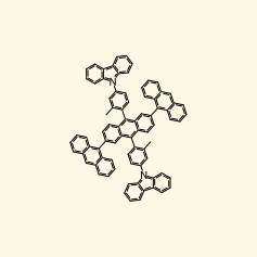 Cc1cc(-n2c3ccccc3c3ccccc32)ccc1-c1c2ccc(-c3c4ccccc4cc4ccccc34)cc2c(-c2ccc(-n3c4ccccc4c4ccccc43)cc2C)c2ccc(-c3c4ccccc4cc4ccccc34)cc12